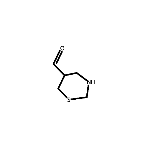 O=CC1CNCSC1